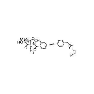 CNC(=O)C(C)(C(=O)NO)N(C)C(=O)c1ccc(C#Cc2ccc(CN3CC(OC(C)C)C3)cc2)cc1